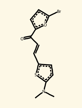 CN(C)c1ccc(C=CC(=O)c2ccc(Br)o2)s1